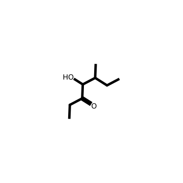 CCC(=O)C(O)C(C)CC